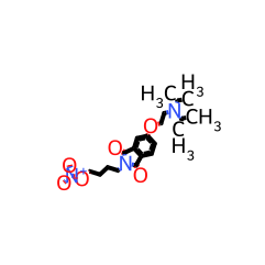 CC(C)N(CCOc1ccc2c(c1)C(=O)N(CCCCO[N+](=O)[O-])C2=O)C(C)C